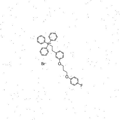 Fc1ccc(OCCCOc2cccc(CC[P+](c3ccccc3)(c3ccccc3)c3ccccc3)c2)cc1.[Br-]